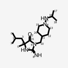 CC(C)CC1(C)NC(=N)N(CC2CCN(NC(C)C)CC2)C1=O